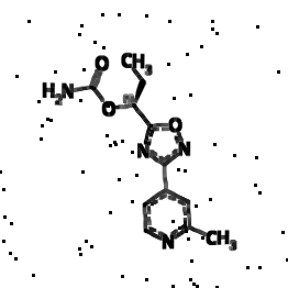 CC[C@H](OC(N)=O)c1nc(-c2ccnc(C)c2)no1